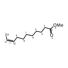 COC(=O)CCCCCCC/C=C\I